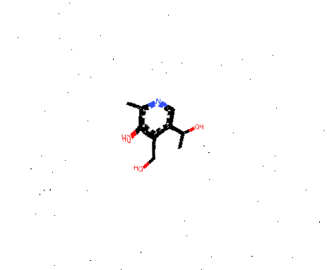 Cc1ncc(C(C)O)c(CO)c1O